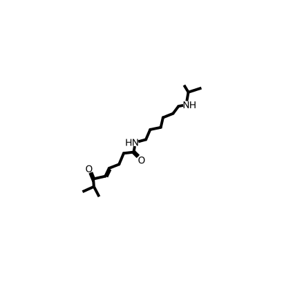 CC(C)NCCCCCCNC(=O)CCC=CC(=O)C(C)C